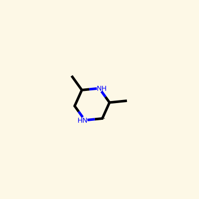 CC1[CH]NCC(C)N1